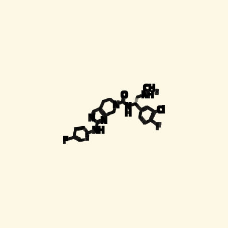 CNC[C@@H](NC(=O)N1CCc2cnc(Nc3ccc(F)cc3)nc2C1)c1ccc(F)c(Cl)c1